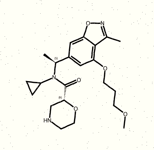 COCCCOc1cc([C@H](C)N(C(=O)[C@H]2CNCCO2)C2CC2)cc2onc(C)c12